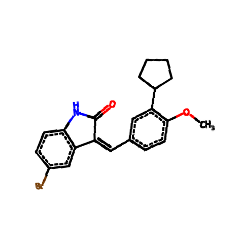 COc1ccc(C=C2C(=O)Nc3ccc(Br)cc32)cc1C1CCCC1